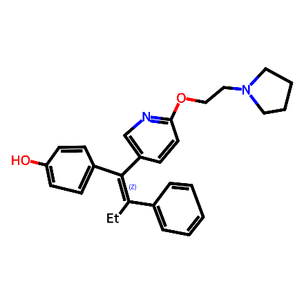 CC/C(=C(\c1ccc(O)cc1)c1ccc(OCCN2CCCC2)nc1)c1ccccc1